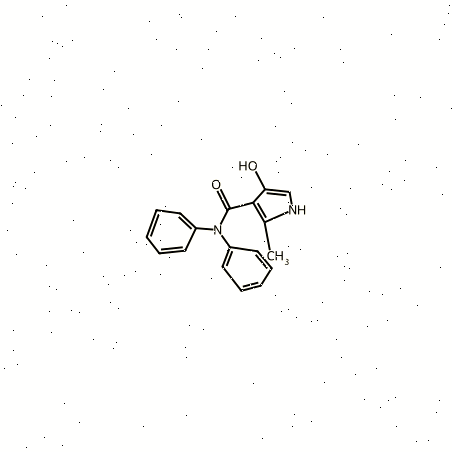 Cc1[nH]cc(O)c1C(=O)N(c1ccccc1)c1ccccc1